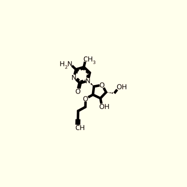 C#CCCOC1C(O)[C@@H](CO)O[C@H]1n1cc(C)c(N)nc1=O